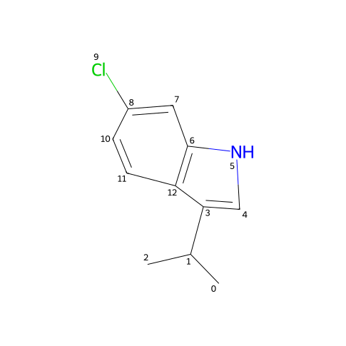 CC(C)c1c[nH]c2cc(Cl)ccc12